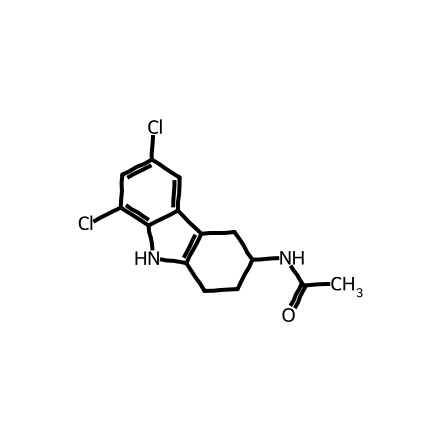 CC(=O)NC1CCc2[nH]c3c(Cl)cc(Cl)cc3c2C1